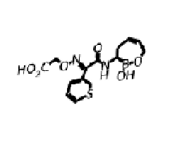 O=C(O)CO/N=C(/C(=O)NC1CC=CCOB1O)C1=CC=CSC1